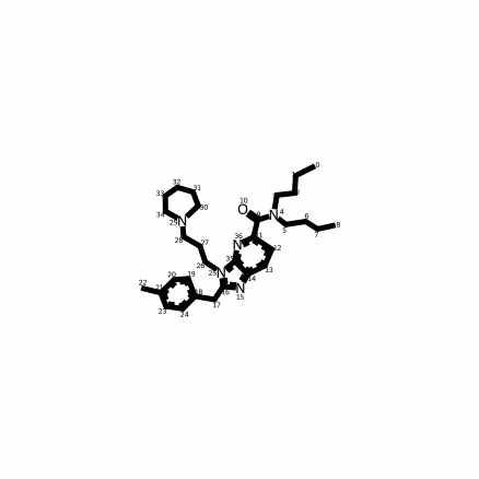 CCCCN(CCCC)C(=O)c1ccc2nc(Cc3ccc(C)cc3)n(CCCN3CCCCC3)c2n1